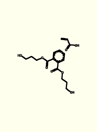 C=CC(=O)O.O=C(OCCCO)c1ccccc1C(=O)OCCCO